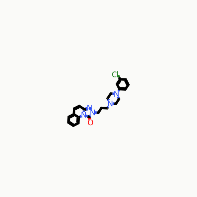 O=c1n(CCCN2CCN(c3cccc(Cl)c3)CC2)nc2ccc3ccccc3n12